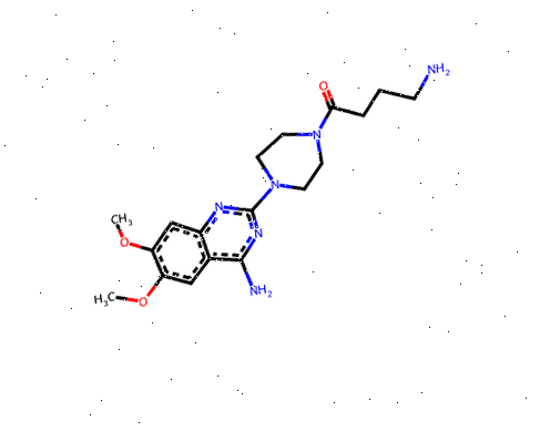 COc1cc2nc(N3CCN(C(=O)CCCN)CC3)nc(N)c2cc1OC